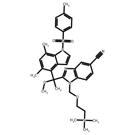 COC(C)(c1c(C)cc(C)c2c1ccn2S(=O)(=O)c1ccc(C)cc1)c1nc2cc(C#N)ccc2n1COCC[Si](C)(C)C